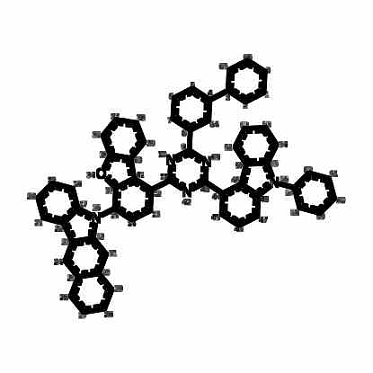 c1ccc(-c2cccc(-c3nc(-c4ccc(-n5c6ccccc6c6cc7ccccc7cc65)c5oc6ccccc6c45)nc(-c4cccc5c4c4ccccc4n5-c4ccccc4)n3)c2)cc1